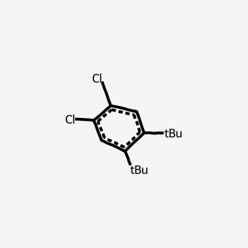 CC(C)(C)c1cc(Cl)c(Cl)cc1C(C)(C)C